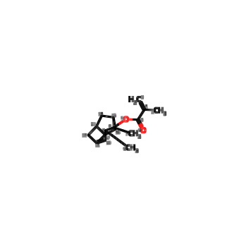 C=C(C)C(=O)OC1(C)C(C)C=C2CC3CC1CC23